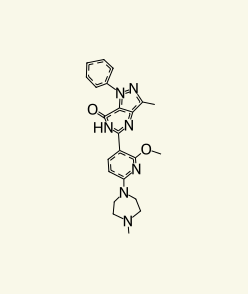 COc1nc(N2CCN(C)CC2)ccc1-c1nc2c(C)nn(-c3ccccc3)c2c(=O)[nH]1